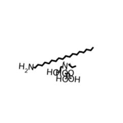 CCCCCCCCCCCCCCCCCCN.CCC[N+](C)(C)CCO.O=P(O)(O)O